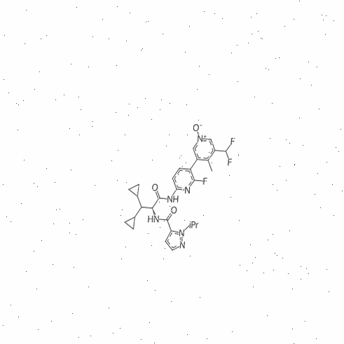 Cc1c(-c2ccc(NC(=O)[C@@H](NC(=O)c3ccnn3C(C)C)C(C3CC3)C3CC3)nc2F)c[n+]([O-])cc1C(F)F